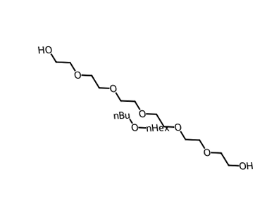 CCCCCCOCCCC.OCCOCCOCCOCCOCCOCCO